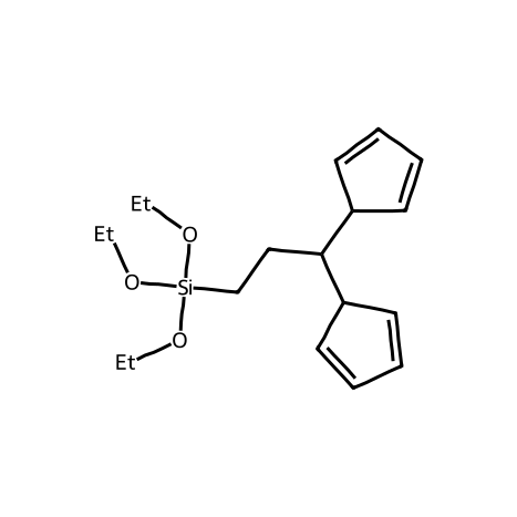 CCO[Si](CCC(C1C=CC=C1)C1C=CC=C1)(OCC)OCC